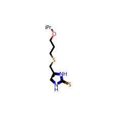 CC(C)OCCCSCc1c[nH]c(=S)[nH]1